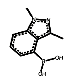 Cc1nn(C)c2cccc(B(O)O)c12